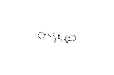 O=C(NCCC1=CCCCC1)NSc1nc2ccccc2s1